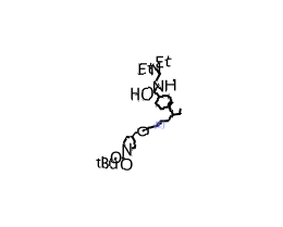 C=CC(C/C=C/COCC1CCN(C(=O)OC(C)(C)C)CC1)C1=CCC(C(O)NCCN(CC)CC)CC1